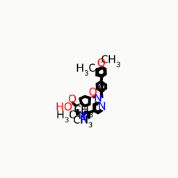 COc1ccc(C23CCC(CN(c4cc(-c5cnn(C(C)(C)C)c5)ccn4)C(=O)[C@H]4CC[C@H](CC(=O)O)CC4)(CC2)CC3)cc1C